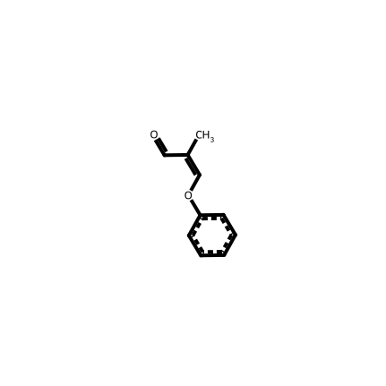 CC(C=O)=COc1ccccc1